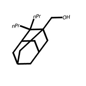 CCCC1(CCC)C2CC3CC(C2)CC1(CO)C3